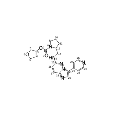 O=C(OC1CCOC1)N1CCCC1CNc1ccc2ncc(-c3ccncc3)n2n1